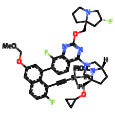 COCOc1cc(-c2ccc3c(N4C[C@@H]5CC[C@](COC6CC6)(C4)N5C(=O)O)nc(OC[C@@]45CCCN4C[C@H](F)C5)nc3c2F)c2c(C#C[Si](C(C)C)(C(C)C)C(C)C)c(F)ccc2c1